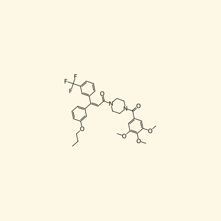 CCCOc1cccc(C(=CC(=O)N2CCN(C(=O)c3cc(OC)c(OC)c(OC)c3)CC2)c2cccc(C(F)(F)F)c2)c1